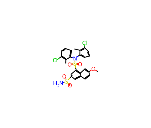 COc1ccc2cc(S(N)(=O)=O)cc(S(=O)(=O)N(c3cccc(Cl)c3C)c3cccc(Cl)c3C)c2c1